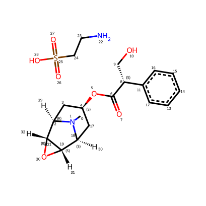 CN1[C@@H]2C[C@@H](OC(=O)[C@H](CO)c3ccccc3)C[C@H]1[C@@H]1O[C@@H]12.NCCS(=O)(=O)O